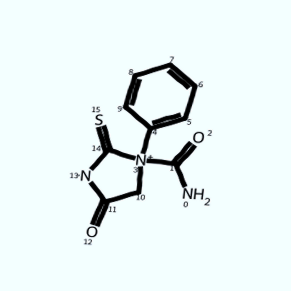 NC(=O)[N+]1(c2ccccc2)CC(=O)[N]C1=S